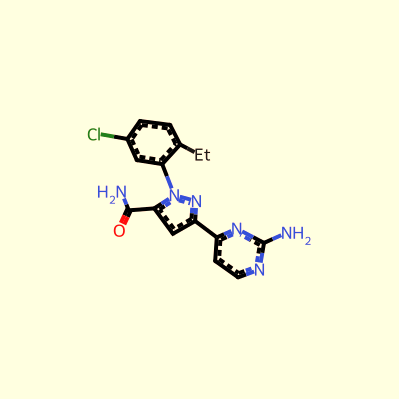 CCc1ccc(Cl)cc1-n1nc(-c2ccnc(N)n2)cc1C(N)=O